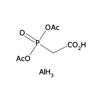 CC(=O)OP(=O)(CC(=O)O)OC(C)=O.[AlH3]